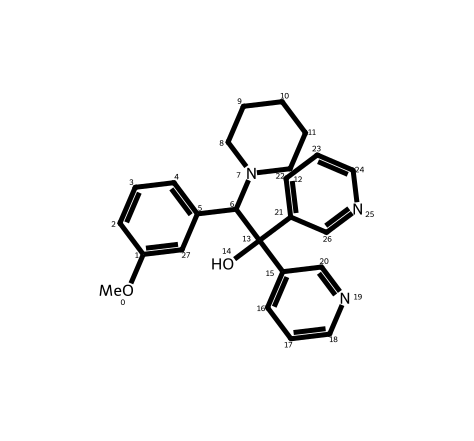 COc1cccc(C(N2CCCCC2)C(O)(c2cccnc2)c2cccnc2)c1